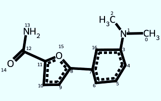 CN(C)c1cccc(-c2ccc(C(N)=O)o2)c1